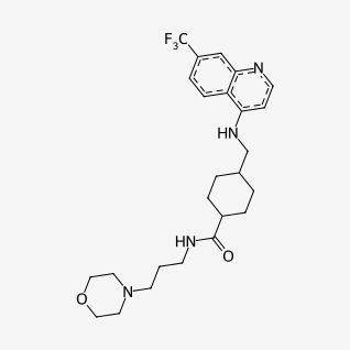 O=C(NCCCN1CCOCC1)C1CCC(CNc2ccnc3cc(C(F)(F)F)ccc23)CC1